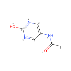 CC(=O)Nc1cnc(O)nc1